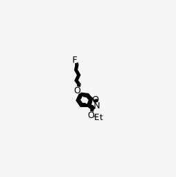 CCOc1noc2cc(OCCCCCF)ccc12